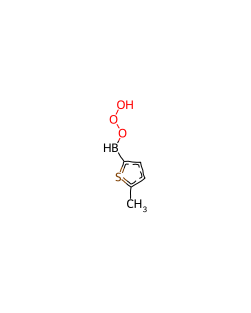 Cc1ccc(BOOO)s1